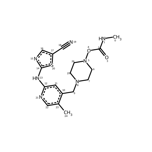 CNC(=O)ON1CCN(Cc2cc(Nc3ncc(C#N)s3)ncc2C)CC1